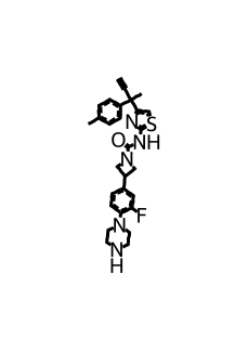 C#CC(C)(c1ccc(C)cc1)c1csc(NC(=O)N2CC(c3ccc(N4CCNCC4)c(F)c3)C2)n1